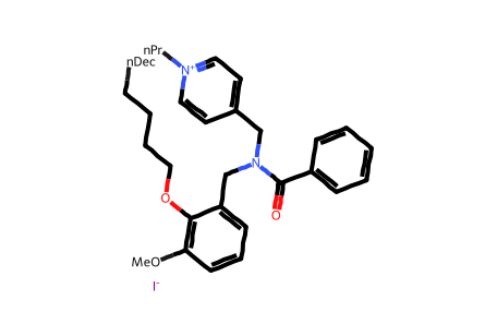 CCCCCCCCCCCCCCOc1c(CN(Cc2cc[n+](CCC)cc2)C(=O)c2ccccc2)cccc1OC.[I-]